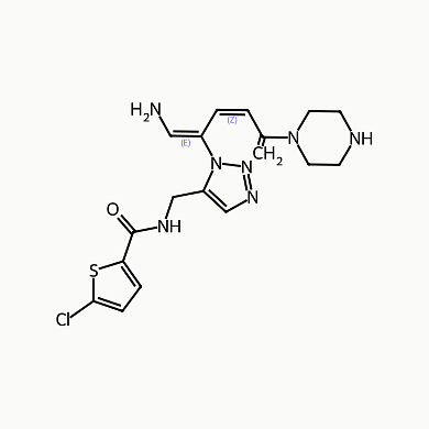 C=C(/C=C\C(=C/N)n1nncc1CNC(=O)c1ccc(Cl)s1)N1CCNCC1